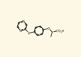 C[C@@H](Oc1ccc(Oc2cnccn2)cc1)C(=O)O